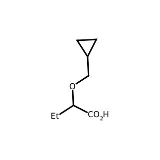 CCC(OCC1CC1)C(=O)O